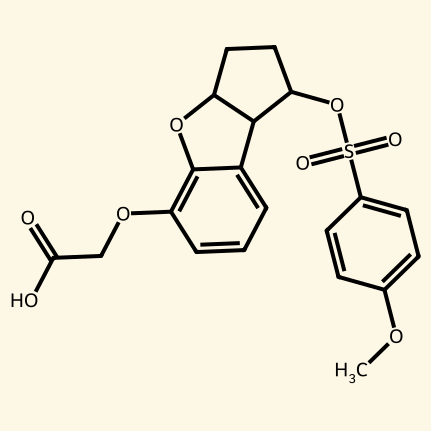 COc1ccc(S(=O)(=O)OC2CCC3Oc4c(OCC(=O)O)cccc4C32)cc1